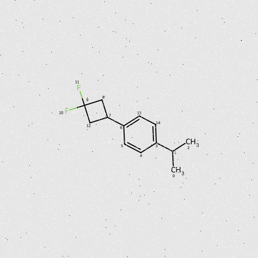 CC(C)c1ccc(C2CC(F)(F)C2)cc1